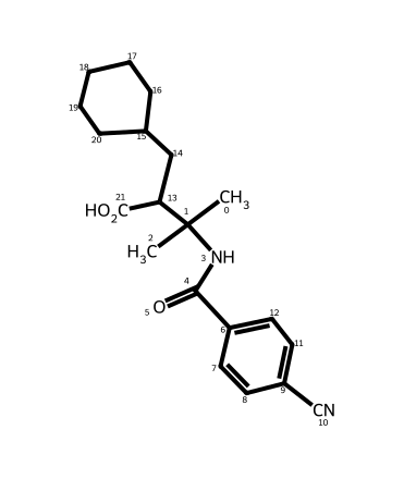 CC(C)(NC(=O)c1ccc(C#N)cc1)C(CC1CCCCC1)C(=O)O